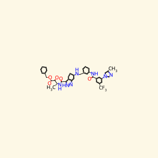 Cc1cn(-c2cc(C(=O)Nc3cccc(CNc4ccc5c(C(=O)N[C@@H](C)C(=O)C(=O)OCc6ccccc6)[nH]nc5c4)c3)cc(C(F)(F)F)c2)cn1